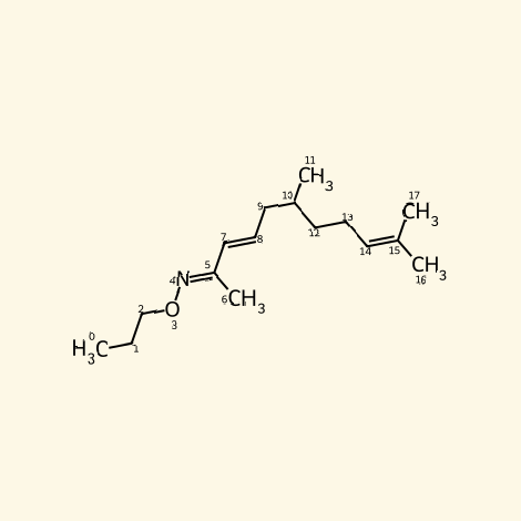 CCCO/N=C(C)/C=C/CC(C)CCC=C(C)C